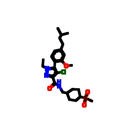 CCn1nc(C(=O)NCC2CCC(S(C)(=O)=O)CC2)c(Cl)c1-c1ccc(CCC(C)C)cc1OC